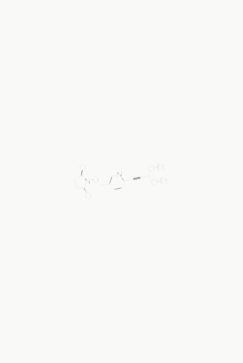 CCOC(C#Cc1ccc(CON2C(=O)CCC2=O)cn1)OCC